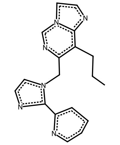 CCCc1c(Cn2ccnc2-c2ccccn2)ncn2ccnc12